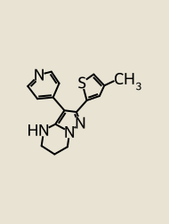 Cc1csc(-c2nn3c(c2-c2ccncc2)NCCC3)c1